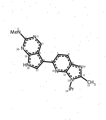 CNc1ncc2c(-c3ccc4nc(C)n(C(C)C)c4n3)c[nH]c2n1